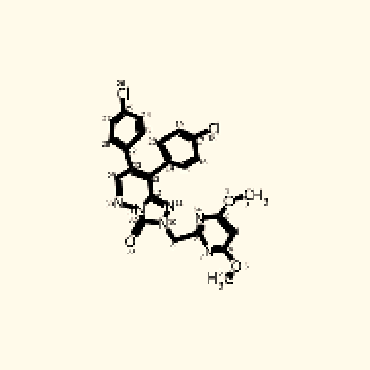 COc1cc(OC)nc(Cn2nc3c(-c4ccc(Cl)cc4)c(-c4ccc(Cl)cc4)cnn3c2=O)n1